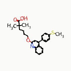 CSc1ccc(-c2cc(OCCCCC(C)(C)C(=O)O)nc3ccccc23)cc1